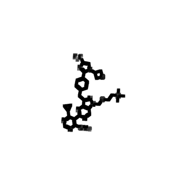 COc1ncnc(C2CC2)c1-c1ncc2c(n1)c(Cc1ccc(-c3nc(C(F)(F)F)cn3C3COC3)cc1)nn2COCC[Si](C)(C)C